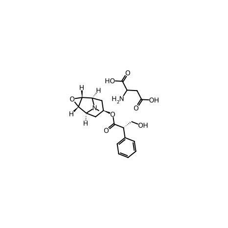 CN1[C@@H]2C[C@@H](OC(=O)[C@H](CO)c3ccccc3)C[C@H]1[C@@H]1O[C@@H]12.NC(CC(=O)O)C(=O)O